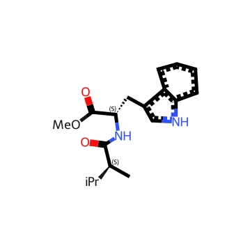 COC(=O)[C@H](Cc1c[nH]c2ccccc12)NC(=O)[C@@H](C)C(C)C